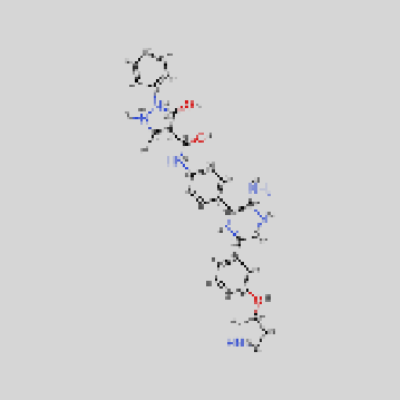 Cc1c(C(=O)Nc2ccc(-c3nc(-c4cccc(OC5CCNC5)c4)cnc3N)cc2)c(=O)n(-c2ccccc2)n1C